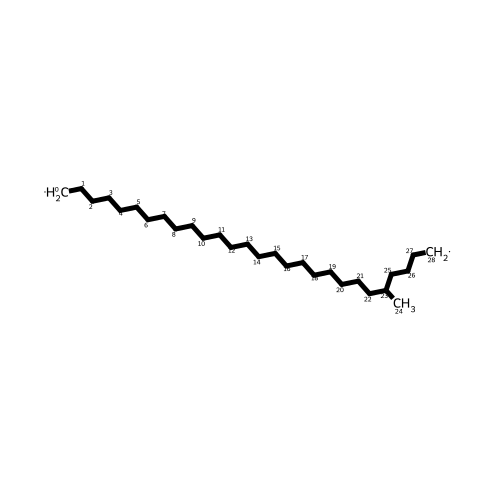 [CH2]CCCCCCCCCCCCCCCCCCCCCCC(C)CCC[CH2]